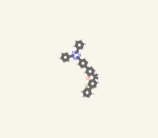 CC1(C)c2ccc(-c3ccc(-c4nc(-c5ccccc5)nc(-c5ccccc5)n4)cc3)cc2Oc2c1ccc1c2sc2ccccc21